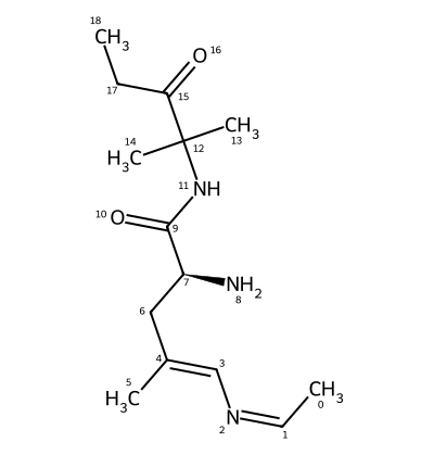 C/C=N\C=C(/C)C[C@H](N)C(=O)NC(C)(C)C(=O)CC